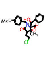 COc1ccc(CN2C(=O)C(CCCl)C3(C)OC(=O)C23C(O)C2C=CCCC2)cc1